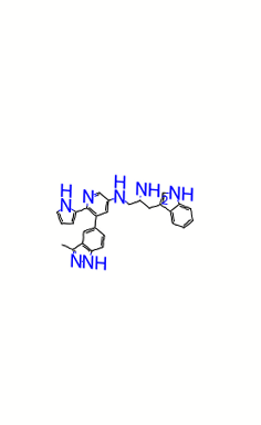 Cc1n[nH]c2ccc(-c3cc(NC[C@H](N)Cc4c[nH]c5ccccc45)cnc3-c3ccc[nH]3)cc12